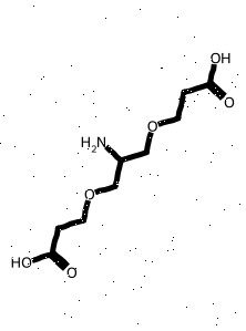 NC(COCCC(=O)O)COCCC(=O)O